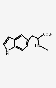 O=C(O)C(Cc1ccc2[nH]ccc2c1)NI